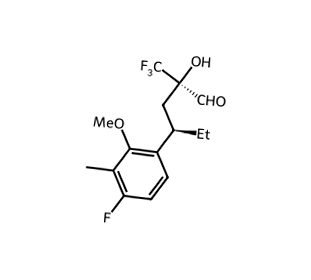 CC[C@H](C[C@@](O)(C=O)C(F)(F)F)c1ccc(F)c(C)c1OC